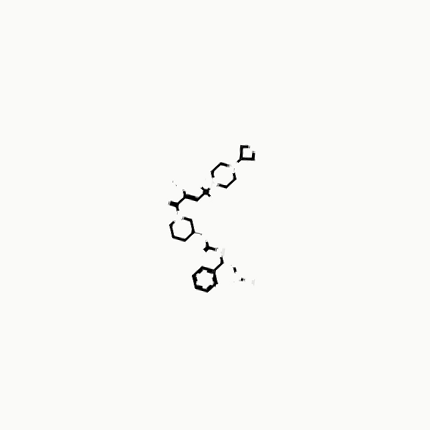 CC(C)(C=C(C#N)C(=O)N1CCC[C@H](OC(=O)N[C@H](CB(O)O)c2ccccc2)C1)N1CCN(C2COC2)CC1